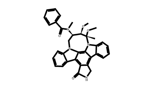 CO[C@@H]1[C@H](N(C)C(=O)c2ccccc2)Cn2c3ccccc3c3c4c(c5c6ccccc6n(c5c32)[C@@]1(C)OC)CNC4=O